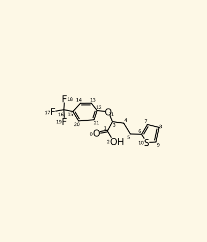 O=C(O)C(CCc1cccs1)Oc1ccc(C(F)(F)F)cc1